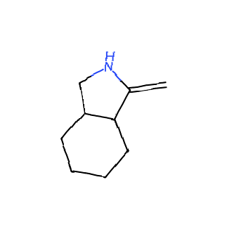 C=C1NCC2CCCCC12